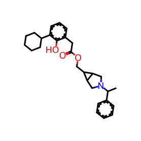 CC(c1ccccc1)N1CC2C(COC(=O)Cc3cccc(C4CCCCC4)c3O)C2C1